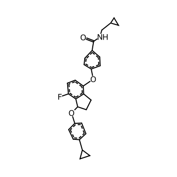 O=C(NCC1CC1)c1ccc(Oc2ccc(F)c3c2CCC3Oc2ccc(C3CC3)cc2)cc1